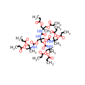 C=CC(=O)OCC(C)(COC(=O)C=C)NC(=O)NC(COC(=O)NC(C)(COC(=O)C=C)COC(=O)C=C)(COC(=O)NC(C)(COC(=O)C=C)COC(=O)C=C)COC(=O)NC(C)(COC(=O)C=C)COC(=O)C=C